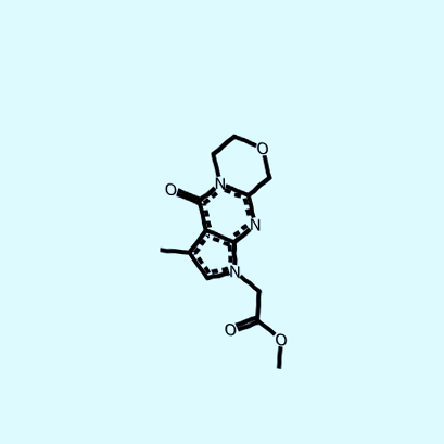 COC(=O)Cn1cc(C)c2c(=O)n3c(nc21)COCC3